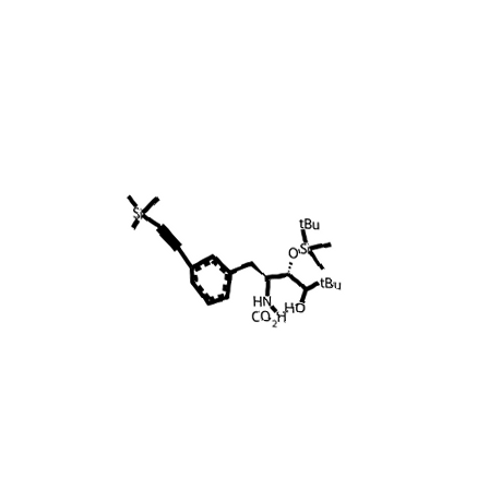 CC(C)(C)C(O)[C@@H](O[Si](C)(C)C(C)(C)C)[C@H](Cc1cccc(C#C[Si](C)(C)C)c1)NC(=O)O